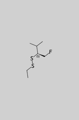 CCSS[C@H](CF)C(C)C